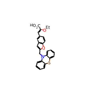 CCOC(=Cc1ccc2oc(CN3c4ccccc4Sc4ccccc43)cc2c1)C(=O)O